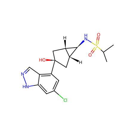 CC(C)S(=O)(=O)N[C@H]1[C@@H]2C[C@](O)(c3cc(Cl)cc4[nH]ncc34)C[C@@H]21